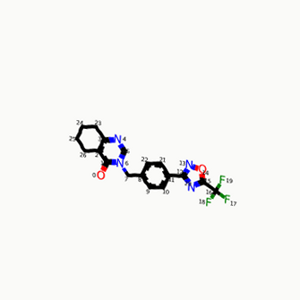 O=c1c2c(ncn1Cc1ccc(-c3noc(C(F)(F)F)n3)cc1)CCCC2